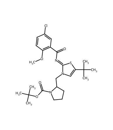 COc1ccc(Cl)cc1C(=O)N=c1sc(C(C)(C)C)cn1CC1CCCN1C(=O)OC(C)(C)C